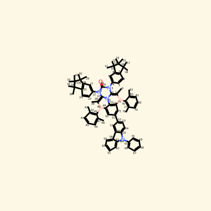 CC1=C2N(c3ccc4c(c3)C(C)(C)C(C)(C)C4(C)C)C(=O)N(c3ccc4c(c3)C(C)(C)C(C)(C)C4(C)C)C3=C(C)B(c4c(C)cccc4C)c4cc(-c5ccc6c(c5)c5ccccc5n6-c5ccccc5)cc(c4N23)B1c1c(C)cccc1C